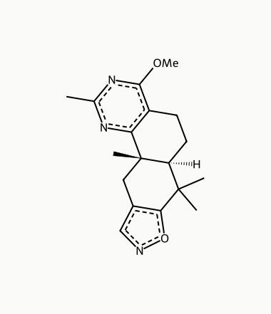 COc1nc(C)nc2c1CC[C@H]1C(C)(C)c3oncc3C[C@]21C